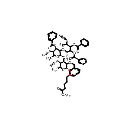 CCC(N=[N+]=[N-])C(OC(=O)c1ccccc1)C(OC(=O)c1ccccc1)[C@H](O)OC1C(OC(=O)c2ccccc2)C(N=[N+]=[N-])C(C)O[C@@H]1OC1C(N=[N+]=[N-])C(C)O[C@H](OCCCCCC(=O)OC)C1OCc1ccccc1